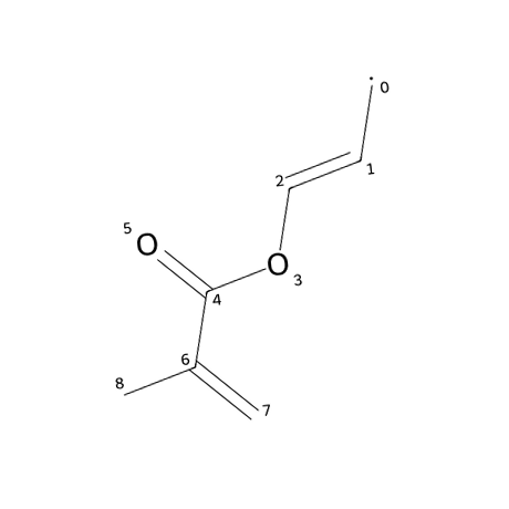 [CH2]C=COC(=O)C(=C)C